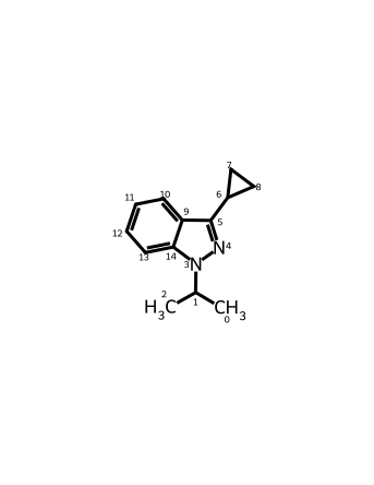 CC(C)n1nc(C2CC2)c2ccccc21